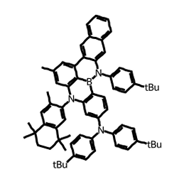 Cc1cc2c3c(c1)N(c1cc4c(cc1C)C(C)(C)CCC4(C)C)c1cc(N(c4ccc(C(C)(C)C)cc4)c4ccc(C(C)(C)C)cc4)ccc1B3N(c1ccc(C(C)(C)C)cc1)c1cc3ccccc3cc1-2